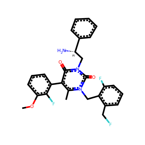 COc1cccc(-c2c(C)n(Cc3c(F)cccc3CF)c(=O)n(C[C@H](N)c3ccccc3)c2=O)c1F